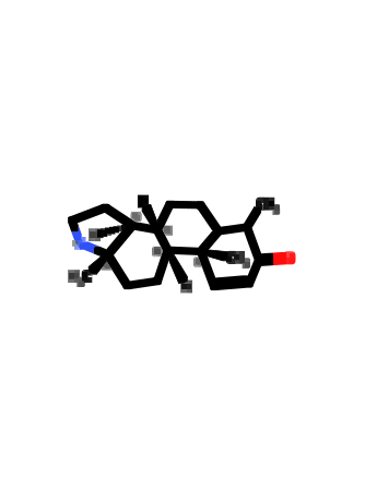 CC1C(=O)C=C[C@@]2(C)C1CC[C@@H]1[C@H]2CC[C@]2(C)[N]CC[C@@H]12